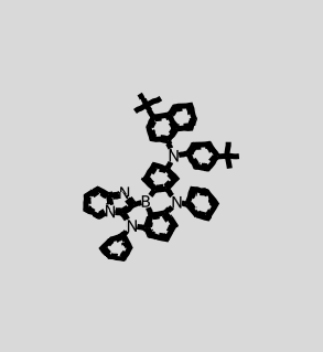 CC(C)(C)c1ccc(N(c2ccc3c(c2)N(c2ccccc2)c2cccc4c2B3c2nc3ccccn3c2N4c2ccccc2)c2ccc(C(C)(C)C)c3ccccc23)cc1